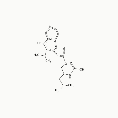 CC(C)CC(COc1ccc2c3ccncc3c(=O)n(C(C)C)c2c1)NC(=O)O